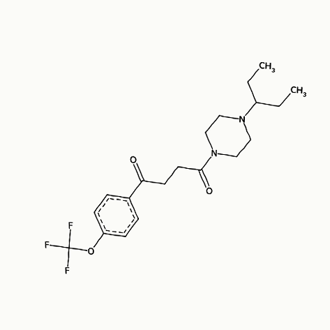 CCC(CC)N1CCN(C(=O)CCC(=O)c2ccc(OC(F)(F)F)cc2)CC1